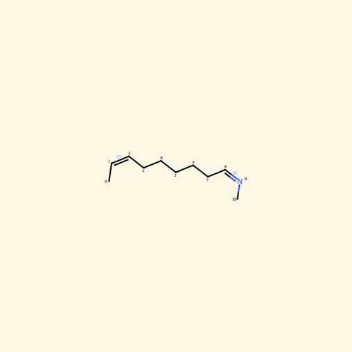 C/C=C\CCCCC/C=N\C